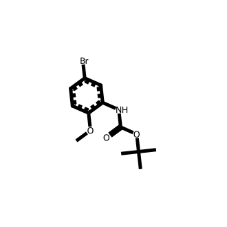 COc1ccc(Br)cc1NC(=O)OC(C)(C)C